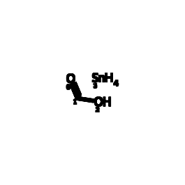 O=CO.[SnH4]